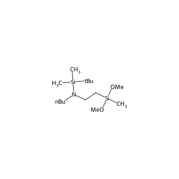 CCCCN(CC[Si](C)(OC)OC)[Si](C)(C)C(C)(C)C